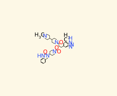 Cc1cc(CC(OC(=O)N2CCC(N3Cc4ccccc4NC3=O)CC2)C(=O)N2CCC(C3CCN(C)CC3)CC2)cc2nn[nH]c12